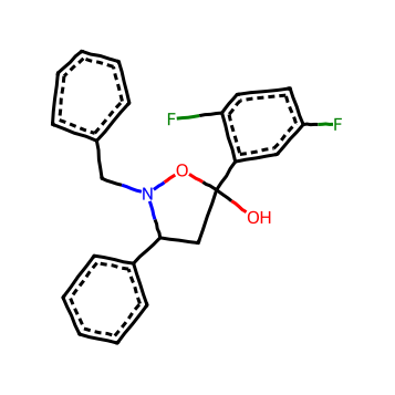 OC1(c2cc(F)ccc2F)CC(c2ccccc2)N(Cc2ccccc2)O1